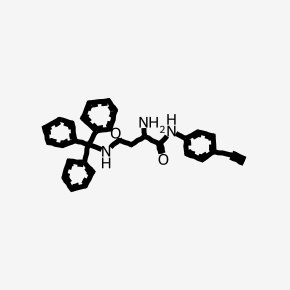 C#Cc1ccc(NC(=O)C(N)CC(=O)NC(c2ccccc2)(c2ccccc2)c2ccccc2)cc1